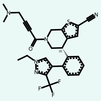 CCn1cc(-c2ccccc2[C@@H]2CN(C(=O)C#CCN(C)C)Cc3sc(C#N)cc32)c(C(F)(F)F)n1